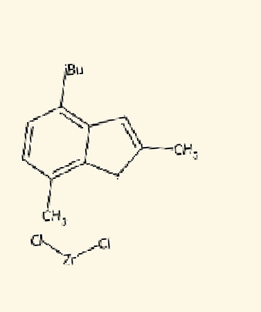 CCC(C)c1ccc(C)c2c1C=C(C)[CH]2.[Cl][Zr][Cl]